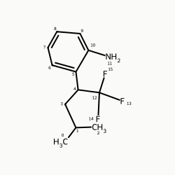 CC(C)CC(c1ccccc1N)C(F)(F)F